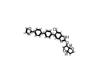 Clc1cc2[nH]c(OC3CO[C@@H]4CCO[C@H]34)nc2cc1-c1ccc(-c2ccc(-c3ncco3)cc2)cc1